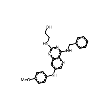 COc1ccc(Nc2cnc3c(NCc4ccccc4)nc(NCCO)nc3c2)cc1